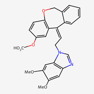 COc1cc2ncn(CC=C3c4ccccc4COc4ccc(OC(=O)O)cc43)c2cc1OC